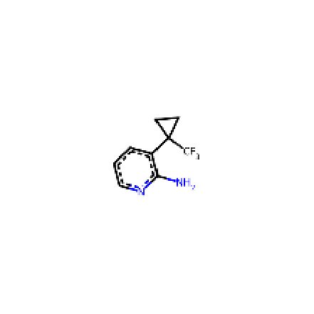 Nc1ncccc1C1(C(F)(F)F)CC1